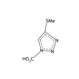 CSc1cn(C(=O)O)nn1